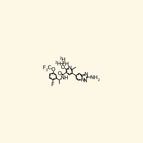 [2H]C([2H])([2H])Oc1nc(C)c(-c2ccn3nc(N)nc3c2)cc1C(=O)NC(C)c1cc(OC(F)(F)F)ccc1F